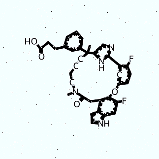 CN1CCCCC(C)(c2cccc(CCC(=O)O)c2)c2cnc([nH]2)-c2cc(ccc2F)Oc2c(F)cc3[nH]ccc3c2CC1=O